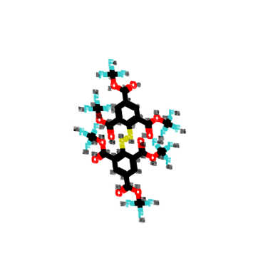 O=C(OC(F)(F)F)c1cc(C(=O)OC(F)(F)F)c(SSc2c(C(=O)OC(F)(F)F)cc(C(=O)OC(F)(F)F)cc2C(=O)OC(F)(F)F)c(C(=O)OC(F)(F)F)c1